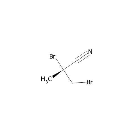 C[C@@](Br)(C#N)CBr